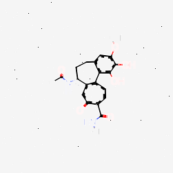 CNC(=O)c1ccc2c(cc1=O)[C@@H](NC(C)=O)CCc1cc(OC)c(O)c(O)c1-2